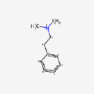 CN(C)CCC1=CC=C=C=C1